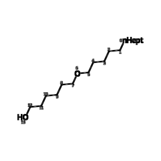 CCCCCCCCCCCCOCCCCCCO